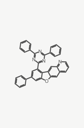 c1ccc(-c2cc(-c3nc(-c4ccccc4)nc(-c4ccccc4)n3)c3c(c2)oc2cc4cccnc4cc23)cc1